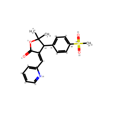 CC1(C)OC(=O)/C(=C\c2ccccn2)C1c1ccc(S(C)(=O)=O)cc1